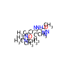 CCN(C)[C@H](C)C(=O)N(C)[C@@H](C)c1ccc(-c2n[nH]c(-c3cc(OC)c4ncnn4c3)c2C(C)C)cc1